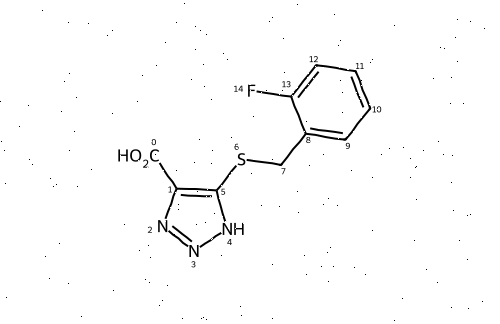 O=C(O)c1nn[nH]c1SCc1ccccc1F